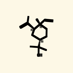 C=C[C@]1(C)CC[C@H](C(C)(C)O)C[C@H]1C(=C)C